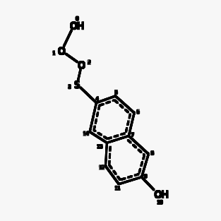 OOOSc1ccc2cc(O)ccc2c1